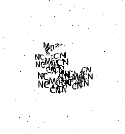 N#[C][Mn-]([C]#N)([C]#N)([C]#N)([C]#N)[C]#N.N#[C][Mn-]([C]#N)([C]#N)([C]#N)([C]#N)[C]#N.N#[C][Mn-]([C]#N)([C]#N)([C]#N)([C]#N)[C]#N.[K+].[Mn+2]